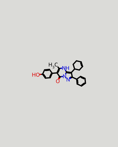 Cc1[nH]c2c(C3CC=CCC3)c(-c3ccccc3)nn2c(=O)c1-c1ccc(O)cc1